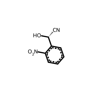 N#C[C@@H](O)c1ccccc1[N+](=O)[O-]